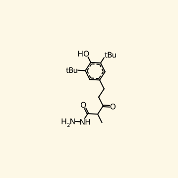 CC(C(=O)CCc1cc(C(C)(C)C)c(O)c(C(C)(C)C)c1)C(=O)NN